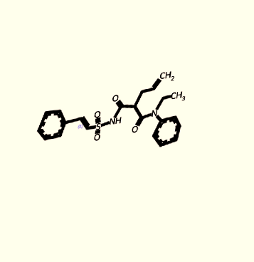 C=CCC(C(=O)NS(=O)(=O)/C=C/c1ccccc1)C(=O)N(CC)c1ccccc1